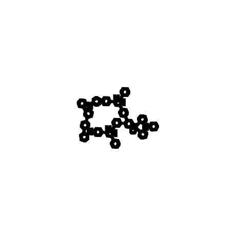 c1ccc(-c2cc(-c3ccc(-c4cc5c6c(oc5cc4-c4cccc(-c5nc(-c7ccccc7)cc(-c7ccc(-n8c9ccccc9c9ccc(-c%10ccc%11c(c%10)c%10ccccc%10n%11-c%10ccccc%10)cc98)cc7)n5)c4)-c4ccccc4N(c4ccccc4)c4ccccc4-6)cc3)nc(-c3ccccc3)n2)cc1